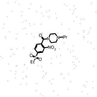 CCS(=O)(=O)c1[c]cc(C(=O)N2CCN(C(C)C)CC2)c([N+](=O)[O-])c1